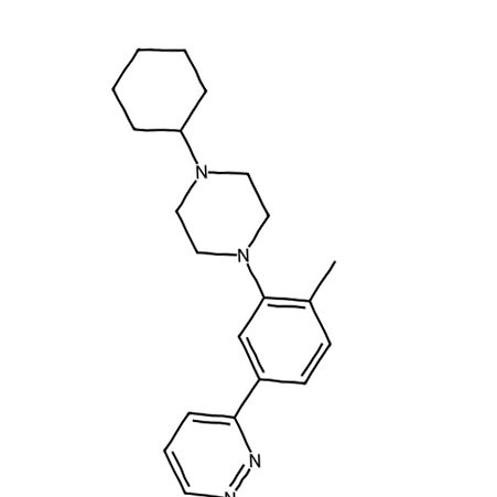 Cc1ccc(-c2cccnn2)cc1N1CCN(C2CCCCC2)CC1